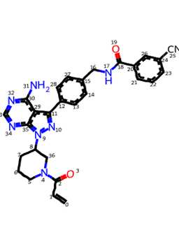 C=CC(=O)N1CCCC(n2nc(-c3ccc(CNC(=O)c4cccc(C#N)c4)cc3)c3c(N)ncnc32)C1